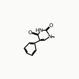 Cn1cc(-c2ccccc2)c(=O)[nH]c1=O